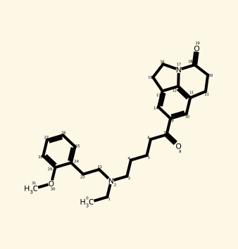 CCN(CCCCC(=O)c1cc2c3c(c1)CCN3C(=O)CC2)CCc1ccccc1OC